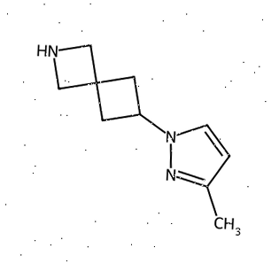 Cc1ccn(C2CC3(CNC3)C2)n1